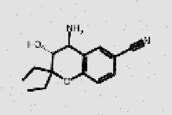 CCC1(CC)Oc2ccc(C#N)cc2[C@H](N)[C@H]1O